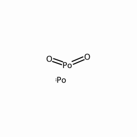 [O]=[Po]=[O].[Po]